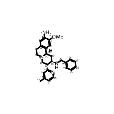 COc1cc2c(cc1N)CCN1C[C@@H](c3cc(C)ccn3)[C@H](NCc3ccccc3)C[C@H]21